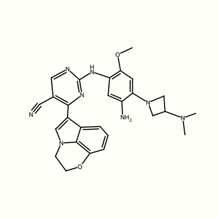 COc1cc(N2CC(N(C)C)C2)c(N)cc1Nc1ncc(C#N)c(-c2cn3c4c(cccc24)OCC3)n1